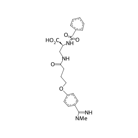 CNC(=N)c1ccc(OCCCC(=O)NC[C@H](NS(=O)(=O)c2ccccc2)C(=O)O)cc1